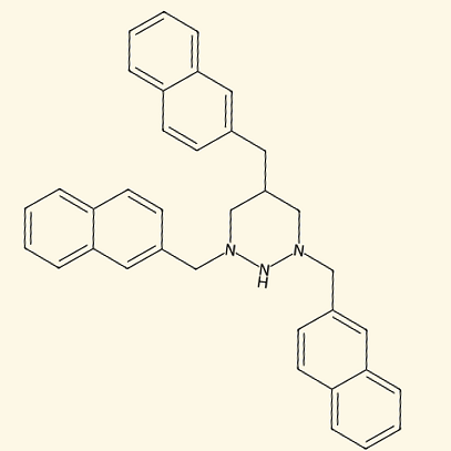 c1ccc2cc(CC3CN(Cc4ccc5ccccc5c4)NN(Cc4ccc5ccccc5c4)C3)ccc2c1